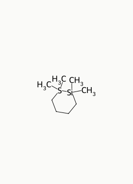 C[Si]1(C)CCCCS1(C)C